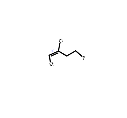 CC/C=C(/Cl)CCF